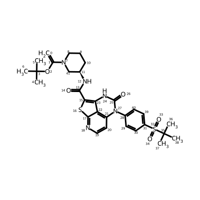 C=C(OC(C)(C)C)N1CCC[C@@H](NC(=O)c2sc3nccc4c3c2NC(=O)N4c2ccc(S(=O)(=O)C(C)(C)C)cc2)C1